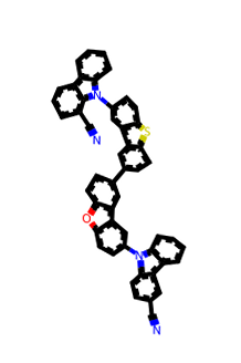 N#Cc1ccc2c(c1)c1ccccc1n2-c1ccc2oc3ccc(-c4ccc5sc6ccc(-n7c8ccccc8c8cccc(C#N)c87)cc6c5c4)cc3c2c1